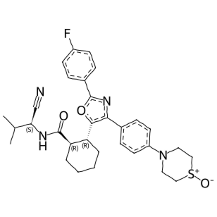 CC(C)[C@@H](C#N)NC(=O)[C@@H]1CCCC[C@H]1c1oc(-c2ccc(F)cc2)nc1-c1ccc(N2CC[S+]([O-])CC2)cc1